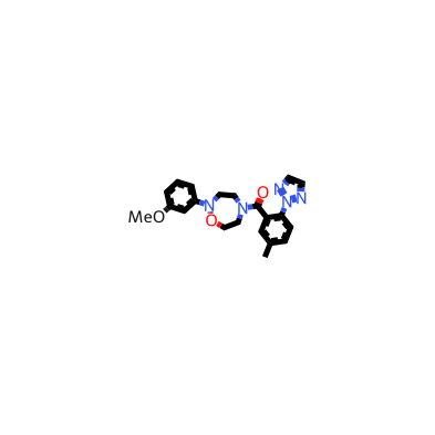 COc1cccc(N2CCN(C(=O)c3cc(C)ccc3-n3nccn3)CCO2)c1